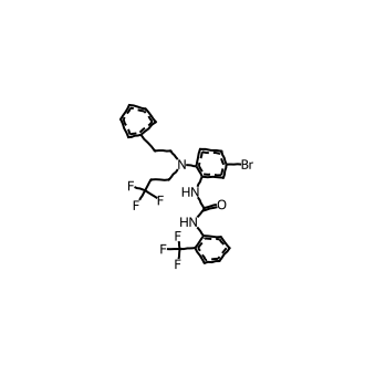 O=C(Nc1cc(Br)ccc1N(CCc1ccccc1)CCC(F)(F)F)Nc1ccccc1C(F)(F)F